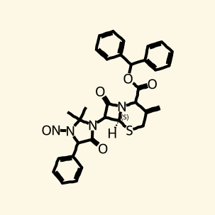 C=C1CS[C@H]2C(N3C(=O)C(c4ccccc4)N(N=O)C3(C)C)C(=O)N2C1C(=O)OC(c1ccccc1)c1ccccc1